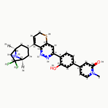 Cn1ccc(-c2ccc(-c3cc4c(nn3)C([C@H]3C[C@@H]5CC(F)(F)[C@H](C3)N5)=CCS4)c(O)c2)cc1=O